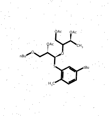 CCCCOC[C@H](OC(C)=O)[C@@H](OC(COC(C)=O)[C@H](C)OC(C)=O)Sc1cc(C(C)(C)C)ccc1C